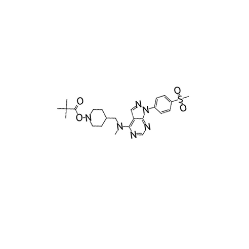 CN(CC1CCN(OC(=O)C(C)(C)C)CC1)c1ncnc2c1cnn2-c1ccc(S(C)(=O)=O)cc1